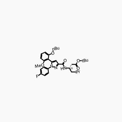 CCCCOc1cccc(OC)c1-c1cc(C(=O)N[C@H](CC(=O)OC(C)(C)C)CC(C)C)nn1-c1ccc(F)cc1